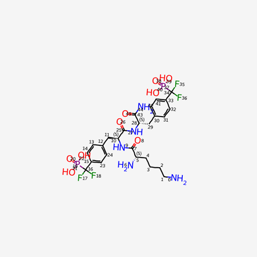 NCCCC[C@H](N)C(=O)N[C@@H](Cc1ccc(C(F)(F)P(=O)(O)O)cc1)C(=O)N[C@@H](Cc1ccc(C(F)(F)P(=O)(O)O)cc1)C(N)=O